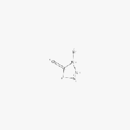 O=C1CN=NN1Br